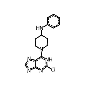 Clc1nc2ncnc-2c(N2CCC(Nc3ccccc3)CC2)[nH]1